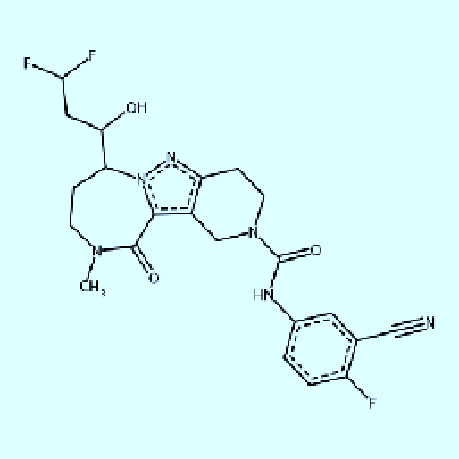 CN1CCC(C(O)CC(F)F)n2nc3c(c2C1=O)CN(C(=O)Nc1ccc(F)c(C#N)c1)CC3